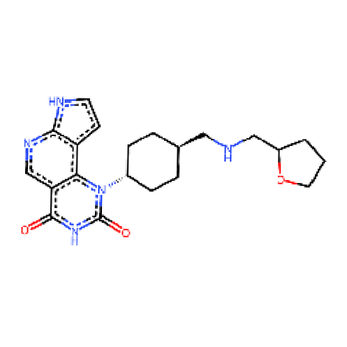 O=c1[nH]c(=O)n([C@H]2CC[C@H](CNCC3CCCO3)CC2)c2c1cnc1[nH]ccc12